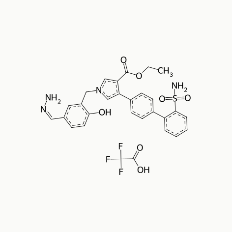 CCOC(=O)c1cn(Cc2cc(/C=N\N)ccc2O)cc1-c1ccc(-c2ccccc2S(N)(=O)=O)cc1.O=C(O)C(F)(F)F